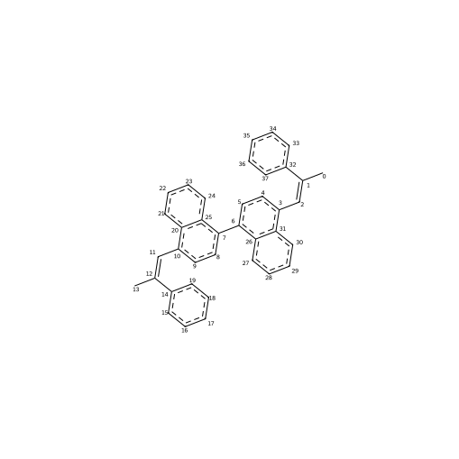 CC(=Cc1ccc(-c2ccc(C=C(C)c3ccccc3)c3ccccc23)c2ccccc12)c1ccccc1